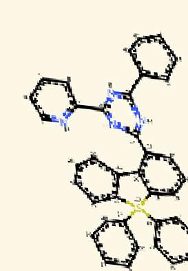 c1ccc(-c2nc(-c3ccccn3)nc(-c3cccc4c3-c3ccccc3S4(c3ccccc3)c3ccccc3)n2)cc1